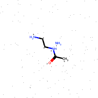 CC(=O)NCCN.N